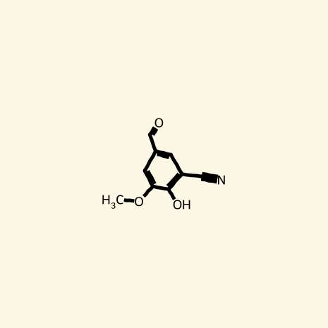 COc1cc(C=O)cc(C#N)c1O